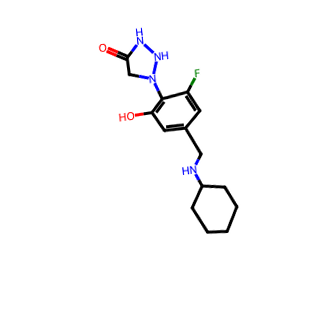 O=C1CN(c2c(O)cc(CNC3CCCCC3)cc2F)NN1